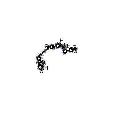 CS(=O)(=O)c1ccc(-c2ccc/c(=N/C(N)Nc3ccc(N4CCN(C(=O)CCCCCCc5ccc6c(c5)C(=O)N(C5CCC(=O)NC5=O)C6)CC4)cc3)[nH]2)cc1